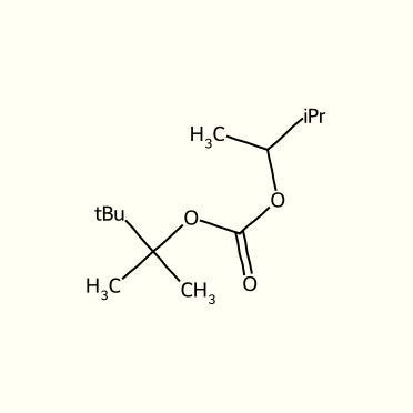 CC(C)C(C)OC(=O)OC(C)(C)C(C)(C)C